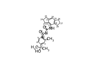 Cc1cc(C(C)(C)O)ccc1[SH](=O)=NC(=O)Nc1c2c(cc3c1CCC3)CCC2